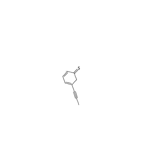 CC#CC1=CC=[C]C(=S)C1